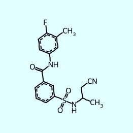 Cc1cc(NC(=O)c2cccc(S(=O)(=O)NC(C)CC#N)c2)ccc1F